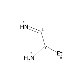 CCC(N)C=N